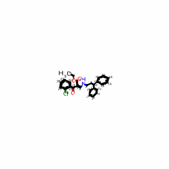 CCOC(=O)C(=CNCCC(c1ccccc1)c1ccccc1)C(=O)c1ccccc1Cl